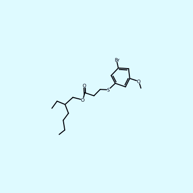 CCCCC(CC)COC(=O)CCSc1cc(Br)cc(OC)c1